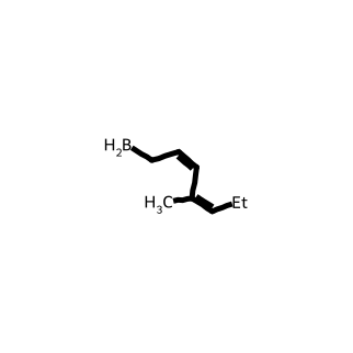 BC/C=C\C(C)=C/CC